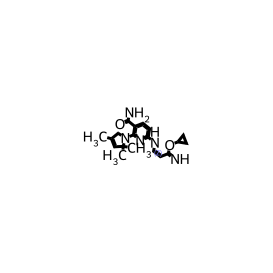 CC1=CC(C)(C)N(c2nc(N/C=C\C(=N)OC3CC3)ccc2C(N)=O)C1